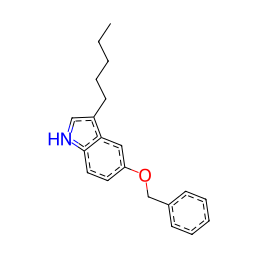 CCCCCc1c[nH]c2ccc(OCc3ccccc3)cc12